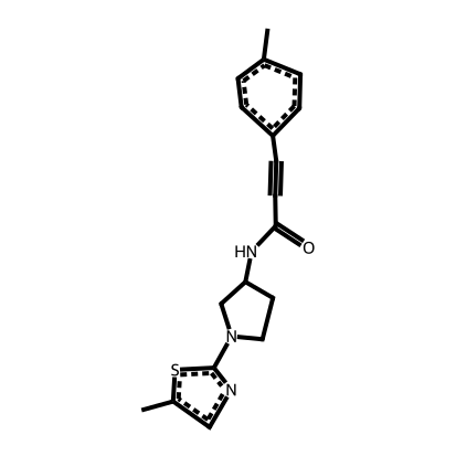 Cc1ccc(C#CC(=O)NC2CCN(c3ncc(C)s3)C2)cc1